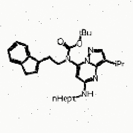 CCCCCCCNc1cc(N(CCC2=CCc3ccccc32)C(=O)OC(C)(C)C)n2ncc(C(C)C)c2n1